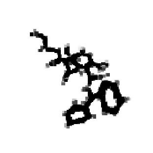 N#CCSCC(=O)C1C(=O)N2C(C(=O)OC(c3ccccc3)c3ccccc3)=C(Cl)CS[C@H]12